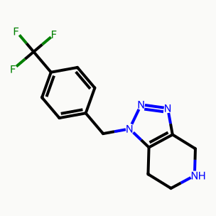 FC(F)(F)c1ccc(Cn2nnc3c2CCNC3)cc1